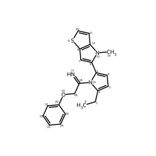 CCc1ccc(-c2cc3sccc3n2C)n1C(=N)COc1ccccc1